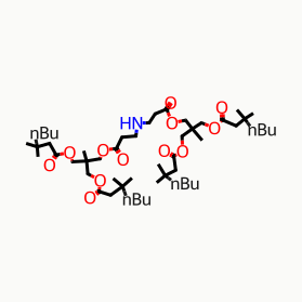 CCCCC(C)(C)CC(=O)OCC(C)(COC(=O)CCNCCC(=O)OCC(C)(COC(=O)CC(C)(C)CCCC)COC(=O)CC(C)(C)CCCC)COC(=O)CC(C)(C)CCCC